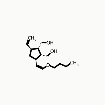 C=C[C@@H]1C[C@H](/C=C\OCCCC)[C@@H](CO)[C@H]1CO